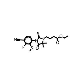 CCOC(=O)CCCN1C(=S)N(c2ccc(C#N)c(F)c2SC)C(=O)C1(C)C